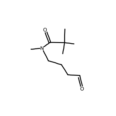 CN(CCCC=O)C(=O)C(C)(C)C